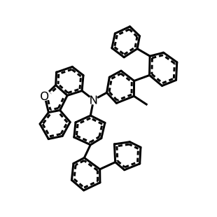 Cc1cc(N(c2ccc(-c3ccccc3-c3ccccc3)cc2)c2cccc3oc4ccccc4c23)ccc1-c1ccccc1-c1ccccc1